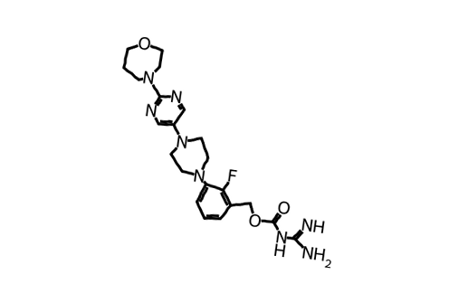 N=C(N)NC(=O)OCc1cccc(N2CCN(c3cnc(N4CCCOCC4)nc3)CC2)c1F